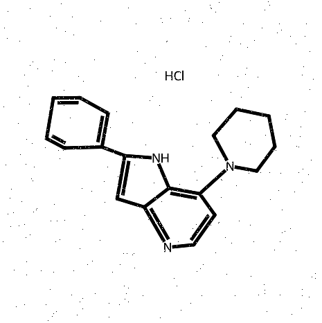 Cl.c1ccc(-c2cc3nccc(N4CCCCC4)c3[nH]2)cc1